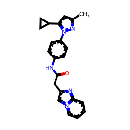 Cc1cc(C2CC2)n(-c2ccc(NC(=O)Cc3cn4ccccc4n3)cc2)n1